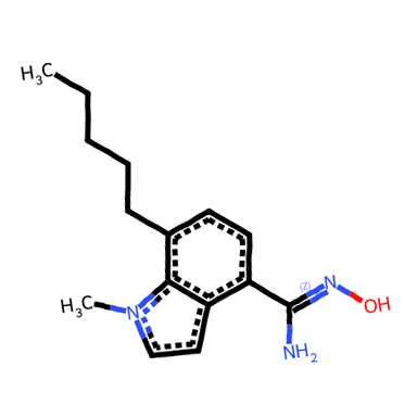 CCCCCc1ccc(/C(N)=N/O)c2ccn(C)c12